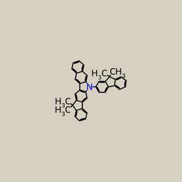 CC1(C)c2ccccc2-c2ccc(-n3c4cc5c(cc4c4cc6ccccc6cc43)C(C)(C)c3ccccc3-5)cc21